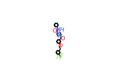 O=C(Nc1ccccc1)N1CCN(C(=O)c2cccc(OCCc3cccc(C(F)(F)F)c3)c2)CC1